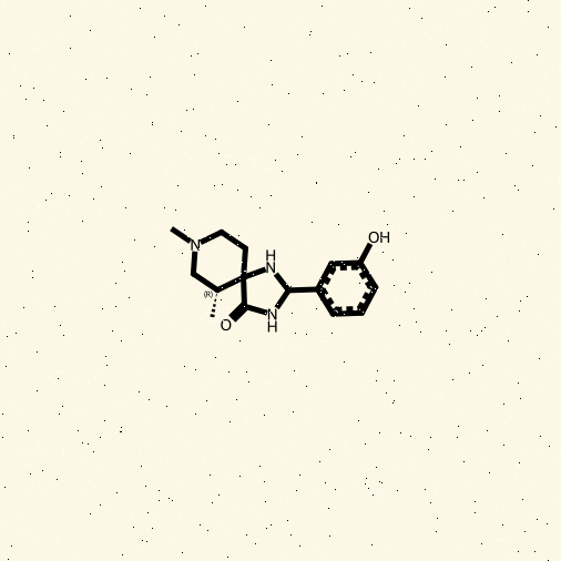 C[C@@H]1CN(C)CCC12NC(c1cccc(O)c1)NC2=O